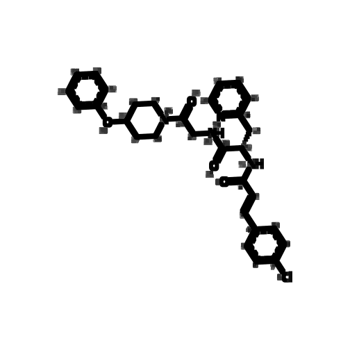 O=C(/C=C/c1ccc(Cl)cc1)N[C@@H](Cc1ccccn1)C(=O)NCC(=O)N1CCC(Oc2ccccc2)CC1